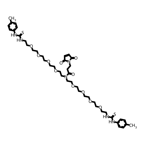 Cc1ccc(NC(=S)NCCOCCOCCOCCOCCN(CCOCCOCCOCCOCCNC(=S)Nc2ccc(C)cc2)C(=O)CCN2C(=O)C=CC2=O)cc1